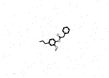 CCCc1ccc(OC(=O)Cc2ccccc2)c(OC)c1